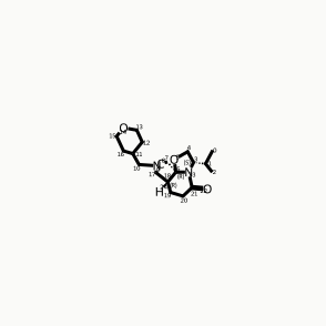 CC(C)[C@H]1CO[C@]23CCN(CC4CCOCC4)C[C@H]2CCC(=O)N13